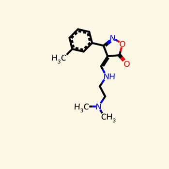 Cc1cccc(C2=NOC(=O)C2=CNCCN(C)C)c1